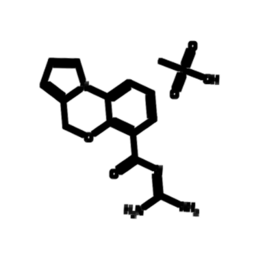 CS(=O)(=O)O.NC(N)=NC(=O)c1cccc2c1OCc1cccn1-2